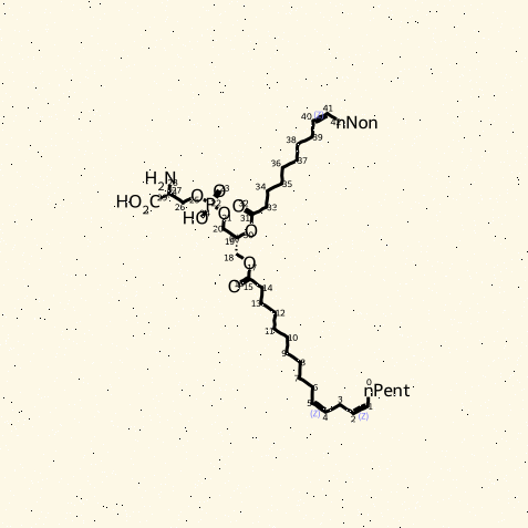 CCCCC/C=C\C/C=C\CCCCCCCCCC(=O)OC[C@H](COP(=O)(O)OC[C@H](N)C(=O)O)OC(=O)CCCCCCC/C=C\CCCCCCCCC